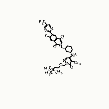 C[Si](C)(C)CCOCn1ncc(N[C@H]2CCC[C@@H](Cn3cc(Cl)c4cc(-c5ncc(C(F)(F)F)cn5)c(F)cc4c3=O)C2)c(C(F)(F)F)c1=O